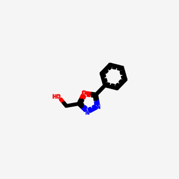 OCc1nnc(-c2ccccc2)o1